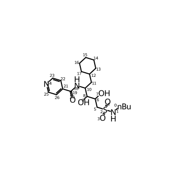 CCCCNS(=O)(=O)CC(O)C(O)C(CC1CCCCC1)NC(=O)c1ccncc1